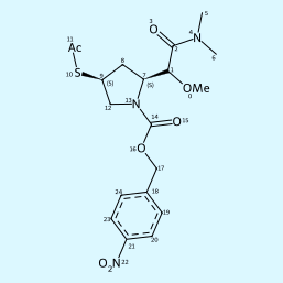 COC(C(=O)N(C)C)[C@@H]1C[C@H](SC(C)=O)CN1C(=O)OCc1ccc([N+](=O)[O-])cc1